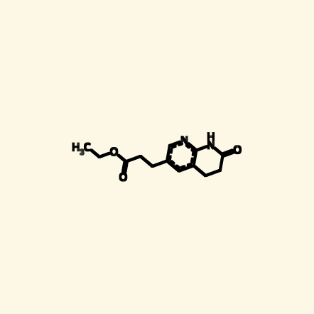 CCOC(=O)CCc1cnc2c(c1)CCC(=O)N2